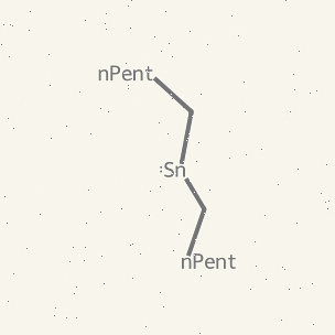 CCCCC[CH2][Sn][CH2]CCCCC